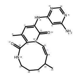 Cc1cc(Nc2cc(N)ncn2)c(=O)n2c1C(=O)NCCCC(C)/C=C\2